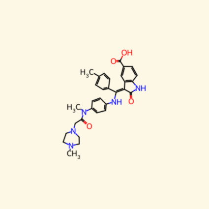 Cc1ccc(/C(Nc2ccc(N(C)C(=O)CN3CCN(C)CC3)cc2)=C2/C(=O)Nc3ccc(C(=O)O)cc32)cc1